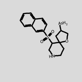 O=S(=O)(c1ccc2ccccc2c1)C1CNCCC12CC([AsH2])CO2